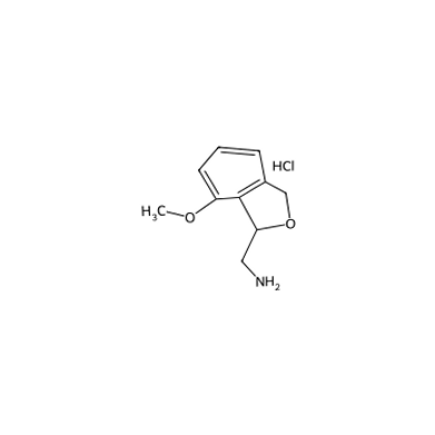 COc1cccc2c1C(CN)OC2.Cl